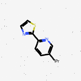 CC(C)c1ccc(-c2nccs2)nc1